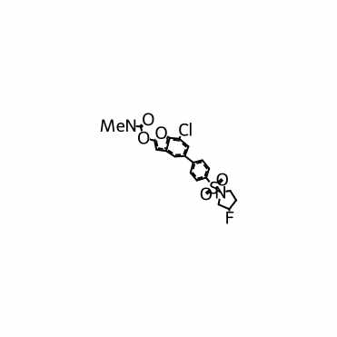 CNC(=O)Oc1cc2cc(-c3ccc(S(=O)(=O)N4CCC(F)C4)cc3)cc(Cl)c2o1